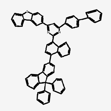 c1ccc(-c2ccc(-c3cc(-c4ccc5sc6ccccc6c5c4)nc(-c4ccc(-c5ccc6c(c5)-c5ccccc5C6(c5ccccc5)c5ccccc5)c5ccccc45)n3)cc2)cc1